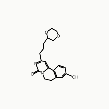 O=c1nc(CCCC2COCCO2)cc2n1CCc1cc(O)ccc1-2